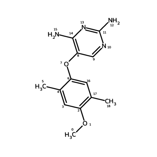 COc1cc(C)c(Oc2cnc(N)nc2N)cc1C